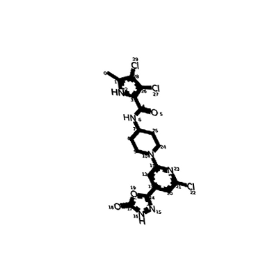 Cc1[nH]c(C(=O)NC2CCN(c3cc(-c4n[nH]c(=O)o4)cc(Cl)n3)CC2)c(Cl)c1Cl